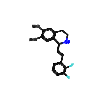 COc1cc2c(cc1OC)C(C=Cc1cccc(F)c1F)NCC2